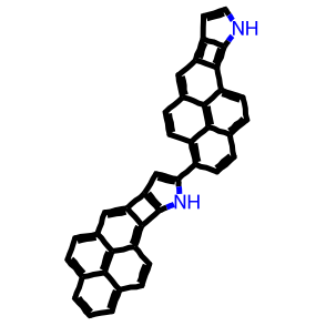 c1cc2ccc3cc4c5cc(-c6ccc7ccc8c9c(cc%10ccc6c7c%108)c6cc[nH]c69)[nH]c5c4c4ccc(c1)c2c34